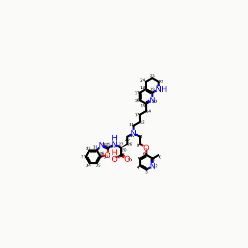 Cc1ncccc1OCCN(CCCCc1ccc2c(n1)NCCC2)CC[C@H](Nc1nc2ccccc2o1)C(=O)O